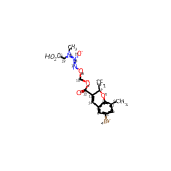 Cc1cc(Br)cc2c1OC(C(F)(F)F)C(C(=O)OCON=[N+]([O-])N(C)CC(=O)O)=C2